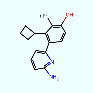 CCCc1c(O)ccc(-c2cccc(N)n2)c1C1CCC1